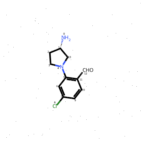 N[C@H]1CCN(c2cc(Cl)ccc2C=O)C1